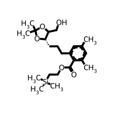 Cc1cc(C)c(C(=O)OCC[Si](C)(C)C)c(CCC[C@@H]2OC(C)(C)OC2CO)c1